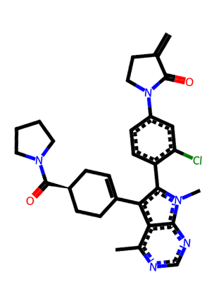 C=C1CCN(c2ccc(-c3c(C4=CC[C@H](C(=O)N5CCCC5)CC4)c4c(C)ncnc4n3C)c(Cl)c2)C1=O